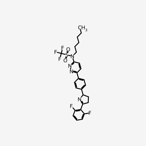 CCCCCCN(c1ccc(-c2ccc(C3CCC(c4c(F)cccc4F)=N3)cc2)nn1)S(=O)(=O)C(F)(F)F